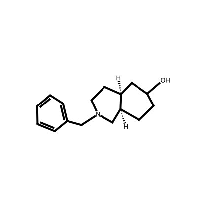 OC1CC[C@H]2CN(Cc3ccccc3)CC[C@H]2C1